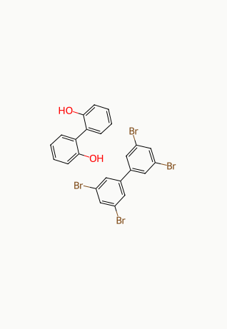 Brc1cc(Br)cc(-c2cc(Br)cc(Br)c2)c1.Oc1ccccc1-c1ccccc1O